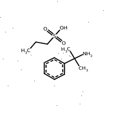 CC(C)(N)c1ccccc1.CCCS(=O)(=O)O